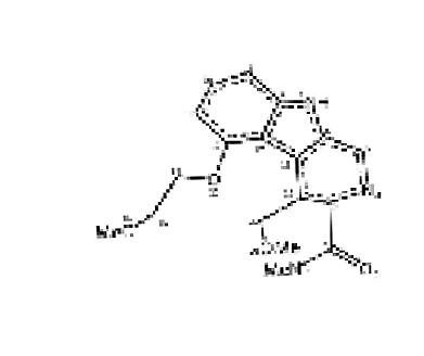 CNC(=O)c1ncc2[nH]c3cccc(OCCOC)c3c2c1COC